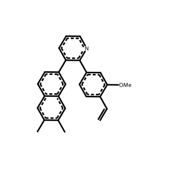 C=Cc1ccc(-c2ncccc2-c2ccc3cc(C)c(C)cc3c2)cc1OC